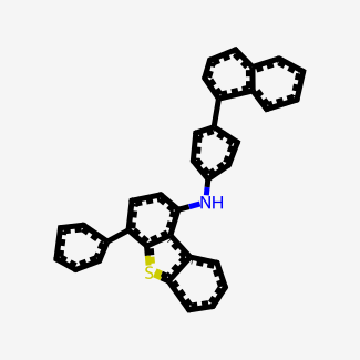 c1ccc(-c2ccc(Nc3ccc(-c4cccc5ccccc45)cc3)c3c2sc2ccccc23)cc1